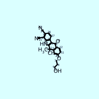 CC1(C)c2cc(OCCCO)ccc2C(=O)c2c1[nH]c1c(C#N)c(C#N)ccc21